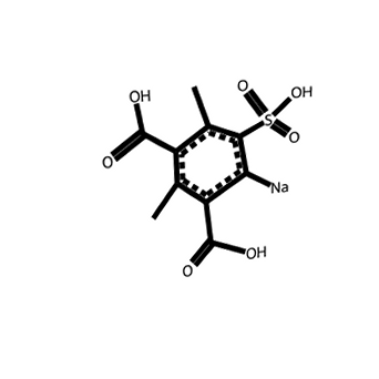 Cc1c(C(=O)O)c(C)c(S(=O)(=O)O)[c]([Na])c1C(=O)O